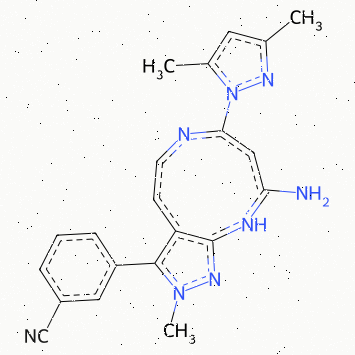 Cc1cc(C)n(-c2cc(N)[nH]c3nn(C)c(-c4cccc(C#N)c4)c3ccn2)n1